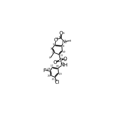 Cc1cc2oc(=O)n(C)c2cc1S(=O)(=O)Nc1cc(F)cc(Cl)c1